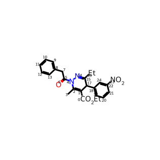 CCOC(=O)C1=C(C)N(C(=O)Cc2ccccc2)N=C(CC)C1c1cccc([N+](=O)[O-])c1